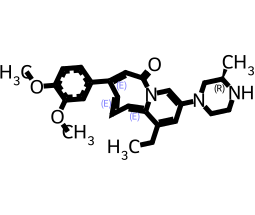 CCC1=CC(N2CCN[C@H](C)C2)=CN2C(=O)\C=C(c3ccc(OC)c(OC)c3)/C=C/C=C\12